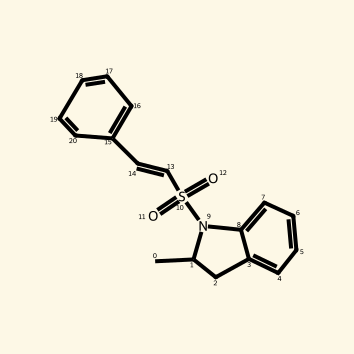 CC1Cc2ccccc2N1S(=O)(=O)/C=C/c1ccccc1